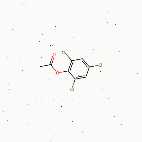 CC(=O)Oc1c(Cl)cc(Cl)cc1Cl